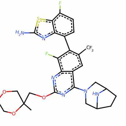 CC1(COc2nc(N3CC4CCC(C3)N4)c3cc(C(F)(F)F)c(-c4ccc(F)c5sc(N)nc45)c(F)c3n2)COCCO1